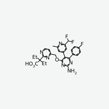 CCC(CC)(C(=O)O)c1nccc(COc2nc(N)nc(-c3ccc(F)cc3)c2-c2cc(C)nc(C(F)F)c2)n1